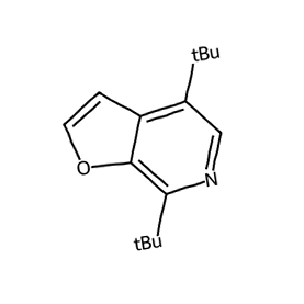 CC(C)(C)c1cnc(C(C)(C)C)c2occc12